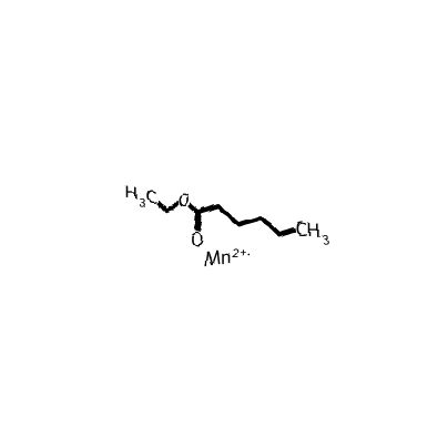 CCCCCC(=O)OCC.[Mn+2]